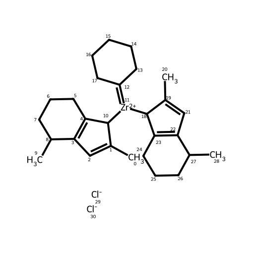 CC1=CC2=C(CCCC2C)[CH]1[Zr+2](=[C]1CCCCC1)[CH]1C(C)=CC2=C1CCCC2C.[Cl-].[Cl-]